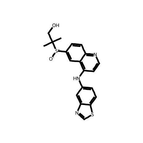 CC(C)(CO)[S+]([O-])c1ccc2nccc(Nc3ccc4scnc4c3)c2c1